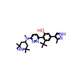 Cc1n[nH]cc1-c1cc(O)c(-c2ccc(N(C)C3CC(C)(C)NC(C)(C)C3)nn2)c(C(C)(C)C)c1